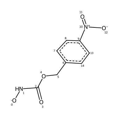 [O]NC(=O)OCc1ccc([N+](=O)[O-])cc1